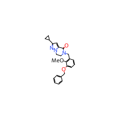 COc1c(CN2CCn3nc(C4CC4)cc3C2=O)cccc1OCc1ccccc1